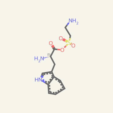 NCCS(=O)(=O)OC(=O)[C@@H](N)Cc1c[nH]c2ccccc12